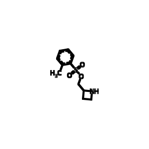 Cc1ccccc1S(=O)(=O)OCC1CCN1